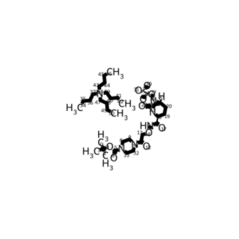 CC(C)(C)OC(=O)N1CCN(C(=O)CONC(=O)[C@@H]2CC[C@@H]3CN2C(=O)N3OS(=O)(=O)[O-])CC1.CCCC[N+](CCCC)(CCCC)CCCC